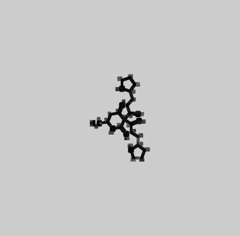 CC1CC(=O)C(C(=O)CCC2CCCO2)(C(=O)CCC2CCCO2)C(=O)O1